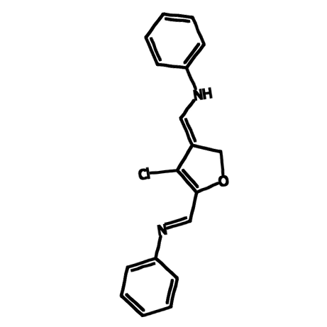 ClC1=C(/C=N/c2ccccc2)OC/C1=C\Nc1ccccc1